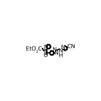 CCOC(=O)CCN(C(=O)c1ccc2c(c1)nc(CNc1ccc(C#N)cn1)n2C)c1ccccn1